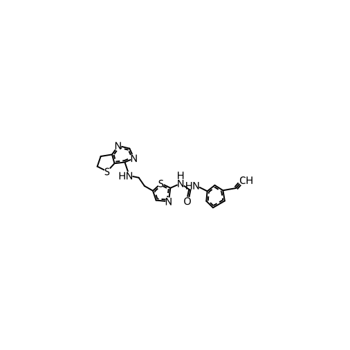 C#Cc1cccc(NC(=O)Nc2ncc(CCNc3ncnc4c3SCC4)s2)c1